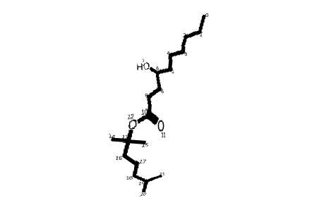 CCCCCCC(O)CCC(=O)OC(C)(C)CCCC(C)C